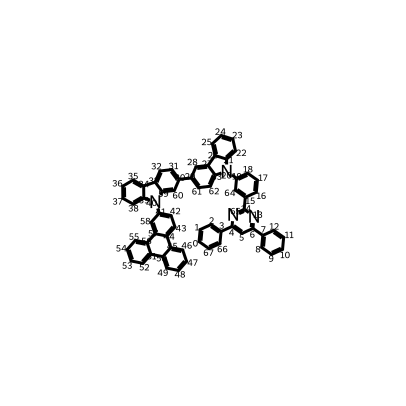 c1ccc(-c2cc(-c3ccccc3)nc(-c3cccc(-n4c5ccccc5c5cc(-c6ccc7c8ccccc8n(-c8ccc9c%10ccccc%10c%10ccccc%10c9c8)c7c6)ccc54)c3)n2)cc1